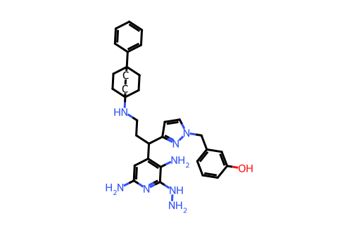 NNc1nc(N)cc(C(CCNC23CCC(c4ccccc4)(CC2)CC3)c2ccn(Cc3cccc(O)c3)n2)c1N